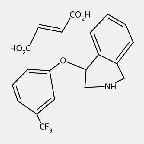 FC(F)(F)c1cccc(OC2CNCc3ccccc32)c1.O=C(O)C=CC(=O)O